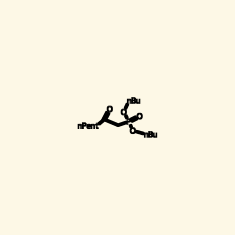 CCCCCC(=O)CP(=O)(OCCCC)OCCCC